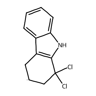 ClC1(Cl)C[CH]Cc2c1[nH]c1ccccc21